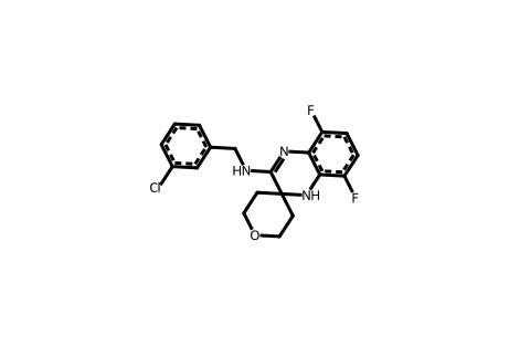 Fc1ccc(F)c2c1N=C(NCc1cccc(Cl)c1)C1(CCOCC1)N2